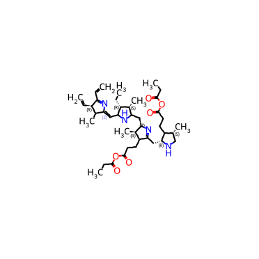 C=CC1=N/C(=C\C2NC(C[C@H]3N=C(C[C@H]4NC[C@@H](C)C4CCC(=O)OC(=O)CC)C(CCC(=O)OC(=O)CC)[C@H]3C)[C@@H](C)[C@H]2CC)C(C)[C@H]1C=C